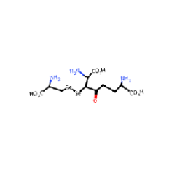 NC(CCC(=O)C([Se][Se]CC(N)C(=O)O)C(N)C(=O)O)C(=O)O